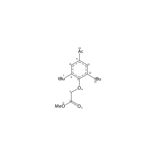 COC(=O)COc1c(C(C)(C)C)cc(C(C)=O)cc1C(C)(C)C